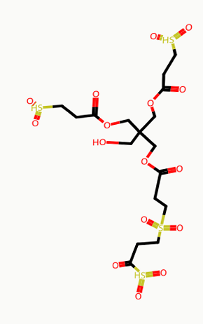 O=C(CC[SH](=O)=O)OCC(CO)(COC(=O)CC[SH](=O)=O)COC(=O)CCS(=O)(=O)CCC(=O)[SH](=O)=O